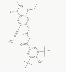 CCOc1cc(CNCC(=O)c2cc(C(C)(C)C)c(O)c(C(C)(C)C)c2)c(C#N)cc1C(=O)NC.Cl